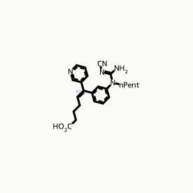 CCCCCN(C(N)=NC#N)c1cccc(/C(=C\CCCC(=O)O)c2cccnc2)c1